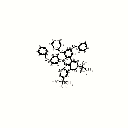 CC(C)(C)c1cnc2c(c1)c1c3n2B2c4ccc(Oc5ccccc5)cc4N(C4C=CC=CC4)c4cc(Oc5ccccc5)cc(c42)C3=CC(C(C)(C)C)C1